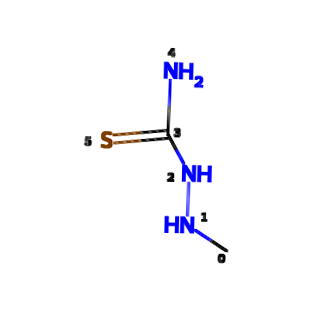 CNNC(N)=S